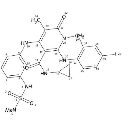 CNS(=O)(=O)Nc1cccc(Nc2c(C(=O)NC3CC3)c(Nc3ccc(I)cc3F)n(C)c(=O)c2C)c1